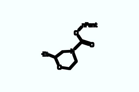 C[CH]C1CN(C(=O)OCCCCC)CCO1